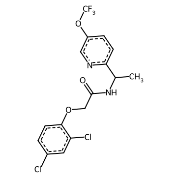 CC(NC(=O)COc1ccc(Cl)cc1Cl)c1ccc(OC(F)(F)F)cn1